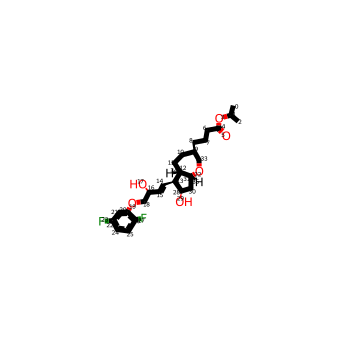 CC(C)OC(=O)CCC[C@@H]1CC[C@H]2[C@H](/C=C/[C@@H](O)COc3cc(F)ccc3F)[C@@H](O)C[C@H]2OC1